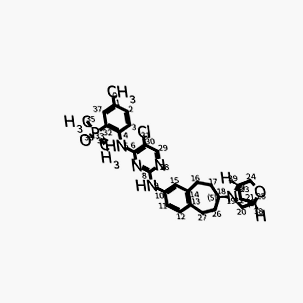 Cc1ccc(Nc2nc(Nc3ccc4c(c3)CC[C@@H](N3C[C@@H]5C[C@H]3CO5)CC4)ncc2Cl)c(P(C)(C)=O)c1